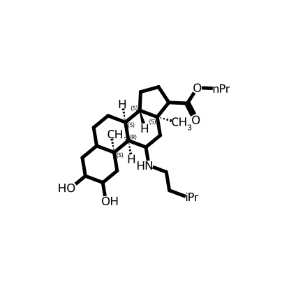 CCCOC(=O)C1CC[C@H]2[C@@H]3CCC4CC(O)C(O)C[C@]4(C)[C@@H]3C(NCCC(C)C)C[C@]12C